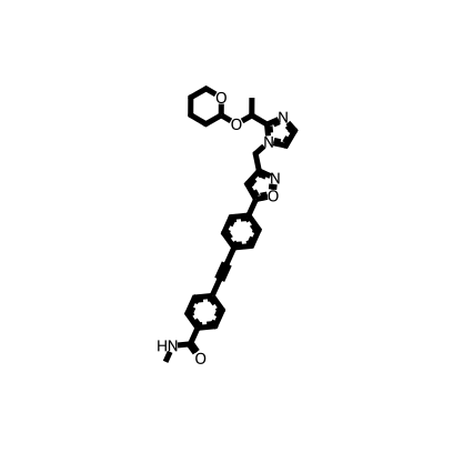 CNC(=O)c1ccc(C#Cc2ccc(-c3cc(Cn4ccnc4C(C)OC4CCCCO4)no3)cc2)cc1